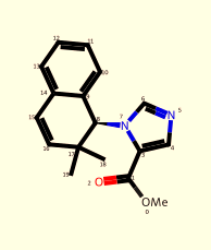 COC(=O)c1cncn1[C@@H]1c2ccccc2C=CC1(C)C